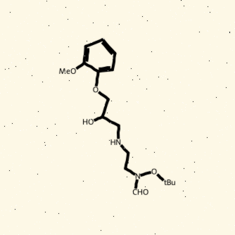 COc1ccccc1OCC(O)CNCCN(C=O)OC(C)(C)C